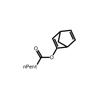 CCCCCC(=O)OC1=CC2C=CC1C2